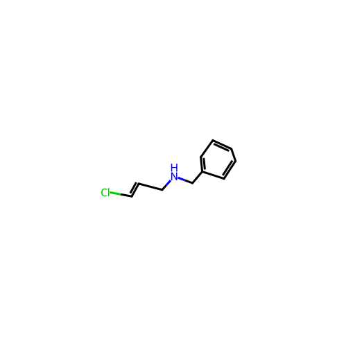 ClC=CCNCc1ccccc1